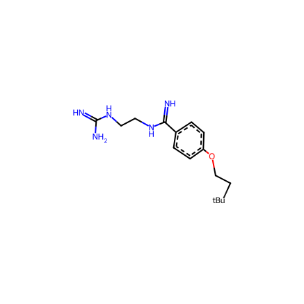 CC(C)(C)CCOc1ccc(C(=N)NCCNC(=N)N)cc1